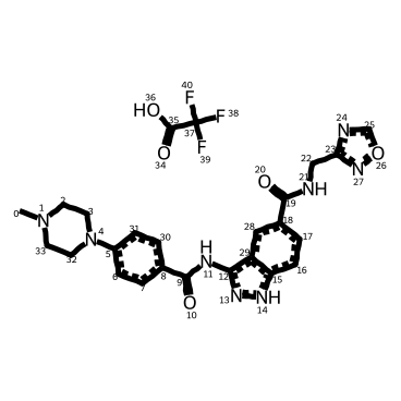 CN1CCN(c2ccc(C(=O)Nc3n[nH]c4ccc(C(=O)NCc5ncon5)cc34)cc2)CC1.O=C(O)C(F)(F)F